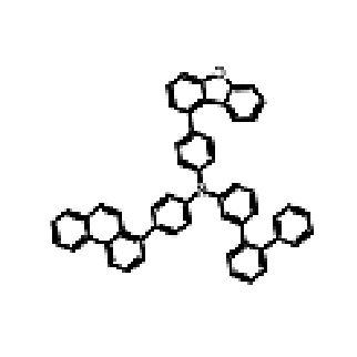 c1ccc(-c2ccccc2-c2cccc(N(c3ccc(-c4cccc5c4ccc4ccccc45)cc3)c3ccc(-c4cccc5oc6ccccc6c45)cc3)c2)cc1